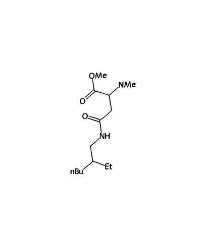 CCCCC(CC)CNC(=O)CC(NC)C(=O)OC